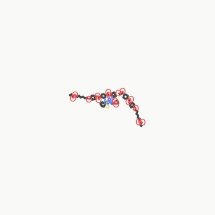 C=CC(=O)OCCCCCCOc1ccc(OC(=O)[C@H]2CC[C@H](C(=O)COc3ccc(OC(=O)[C@H]4CC[C@H](C(=O)Oc5ccc(OCCCCCCOC(=O)C=C)cc5)CC4)c(/C=N/N(CC4OCCO4)c4nc5ccccc5s4)c3)CC2)cc1